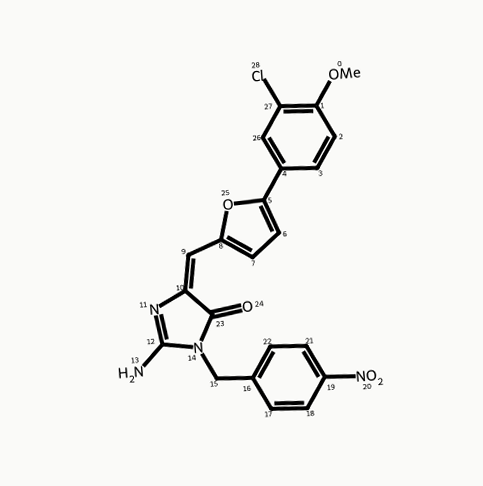 COc1ccc(-c2ccc(/C=C3/N=C(N)N(Cc4ccc([N+](=O)[O-])cc4)C3=O)o2)cc1Cl